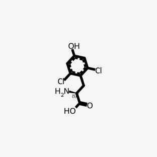 N[C@@H](Cc1c(Cl)cc(O)cc1Cl)C(=O)O